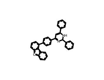 C1=C(c2ccccc2)NC(c2ccccc2)N=C1c1ccc(-c2cccc3oc4ccccc4c23)cc1